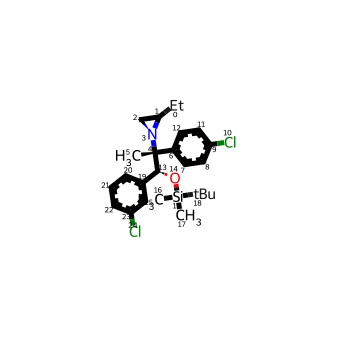 CCC1C[N@]1[C@](C)(c1ccc(Cl)cc1)[C@H](O[Si](C)(C)C(C)(C)C)c1cccc(Cl)c1